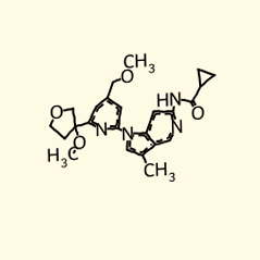 COCc1cc(-n2cc(C)c3cnc(NC(=O)C4CC4)cc32)nc(C2(OC)CCOC2)c1